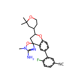 [C-]#[N+]c1ccc(F)c(-c2ccc3c(c2)C2(CC(C4CCOC(C)(C)C4)O3)N=C(N)N(C)O2)c1